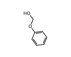 OCOc1cc[c]cc1